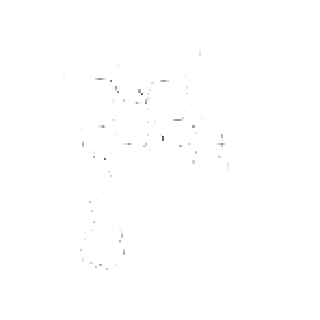 CC1=CC(=O)[C@]2(O[Si](C)(C)C(C)(C)C)C(=O)c3c(OCc4ccccc4)noc3[C@@H](N(C)C)[C@@H]2C1